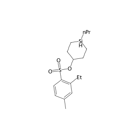 CCC[SiH]1CCC(OS(=O)(=O)c2ccc(C)cc2CC)CC1